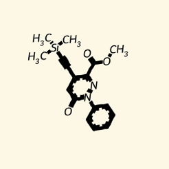 COC(=O)c1nn(-c2ccccc2)c(=O)cc1C#C[Si](C)(C)C